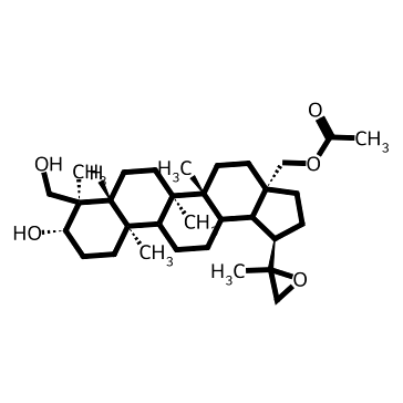 CC(=O)OC[C@]12CC[C@@H](C3(C)CO3)C1C1CCC3[C@@]4(C)CC[C@H](O)[C@@](C)(CO)[C@@H]4CC[C@@]3(C)[C@]1(C)CC2